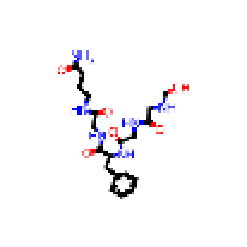 NC(=O)CCCNC(=O)CNC(=O)C(Cc1ccccc1)NC(=O)CNC(=O)CNCO